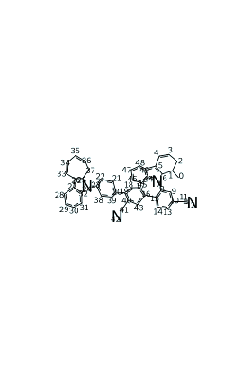 CC1CC=Cc2c1n(-c1cc(C#N)ccc1-c1ccc(-c3ccc(-n4c5c(c6ccccc64)C=CC=CC5)cc3)c(C#N)c1)c1ccccc21